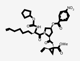 C=CCCCCC[C@H](NC(=O)OC1CCCC1)C(=O)N1C[C@@H](OC(=O)c2ccc([N+](=O)[O-])cc2)C[C@H]1C(=O)C[C@]1(C(=O)OC)C[C@H]1C=C